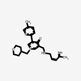 CC(=N)/C=C\CNCc1cn(CC2CCOCC2)cc(-c2ccc(C)cn2)c1=O